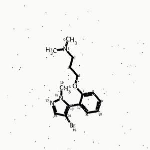 CN(C)CCCOc1cc[c]cc1-c1c(Br)cnn1C